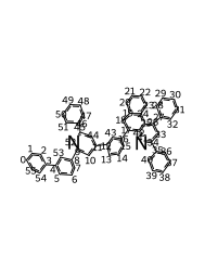 c1ccc(-c2cccc(-c3cc(-c4cccc(-c5cc6ccccc6c6c(-c7ccccc7)cc(-c7ccccc7)nc56)c4)cc(-c4ccccc4)n3)c2)cc1